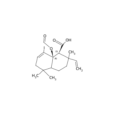 C=CC1(C)CCC2C(C)(C)CC=C(I)[C@]2(OC=O)[C@H]1C(=O)O